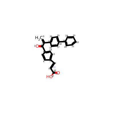 C=C(C(=O)c1ccc(/C=C/C(=O)O)cc1)c1ccc(-c2ccccc2)cc1